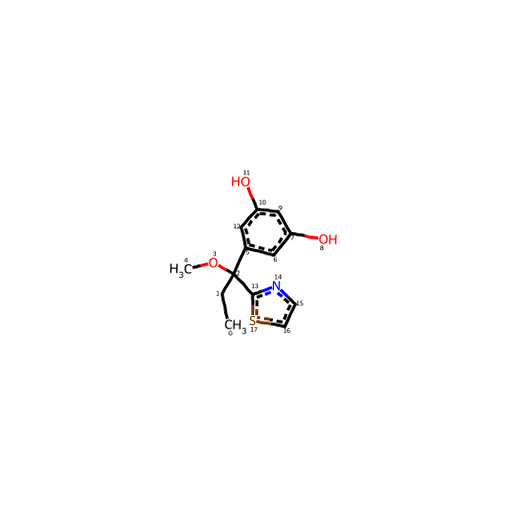 CCC(OC)(c1cc(O)cc(O)c1)c1nccs1